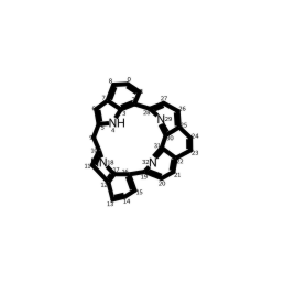 c1cc2c3[nH]c(cc3c1)Cc1cc3cccc(c3[nH]1)-c1ccc3ccc4ccc-2nc4c3n1